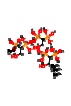 O=P([O-])([O-])C(CO)P(=O)([O-])[O-].O=P([O-])([O-])C(CO)P(=O)([O-])[O-].O=P([O-])([O-])C(CO)P(=O)([O-])[O-].[Fe+3].[Fe+3].[Fe+3].[Fe+3]